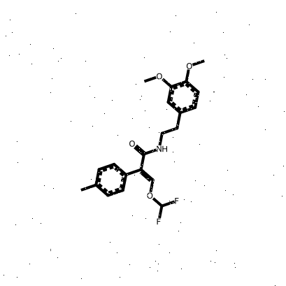 COc1ccc(CCNC(=O)C(=COC(F)F)c2ccc(C)cc2)cc1OC